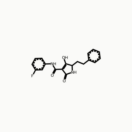 O=C(Nc1cccc(F)c1)C1=C(O)C(CCc2ccccc2)NC1=O